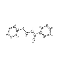 O=C(OOCc1ccccc1)c1ccccc1